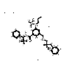 CCCN(c1cc(COCC(C)(N)Cc2ccccc2)cc(C(=O)NC(c2ccccc2)C(F)(F)F)c1)S(C)(=O)=O